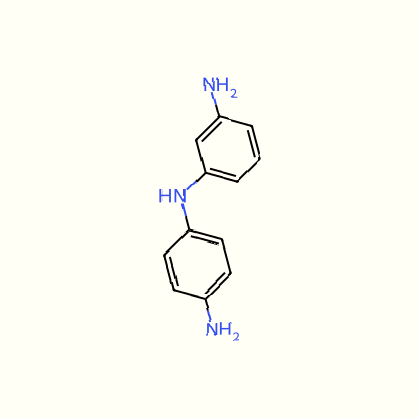 Nc1ccc(Nc2cccc(N)c2)cc1